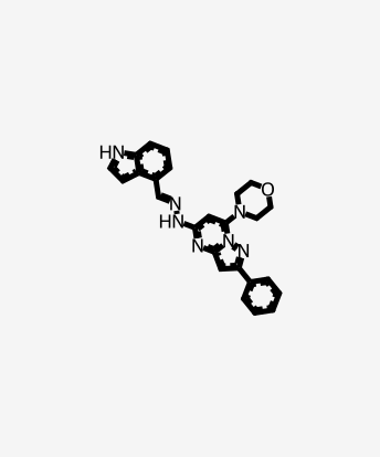 C(=NNc1cc(N2CCOCC2)n2nc(-c3ccccc3)cc2n1)c1cccc2[nH]ccc12